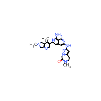 Cc1c(-c2cc3cc(Nc4cc5n(n4)CC(=O)N(C)CC5)ncc3c(N)n2)cnc2c1CN(C)C2